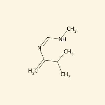 C=C(/N=C\NC)C(C)C